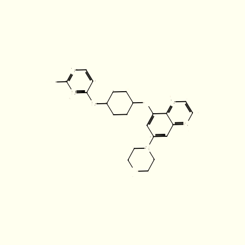 Oc1nccc(NC2CCC(Oc3cc(N4CCOCC4)cc4nccnc34)CC2)n1